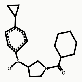 O=C(C1CCCCC1)N1CCC([S+]([O-])c2ccc(C3CC3)cc2)C1